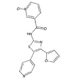 O=C(Nc1nc(-c2ccco2)c(-c2ccncc2)s1)c1ccc[n+]([O-])c1